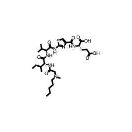 CCCCCN(C)CC(=O)N[C@H](C(=O)N[C@H](C(=O)Nc1nc(C(=O)N[C@@H](CCC(=O)O)C(=O)O)cs1)C(C)C)C(C)CC